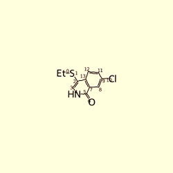 CCSc1c[nH]c(=O)c2cc(Cl)ccc12